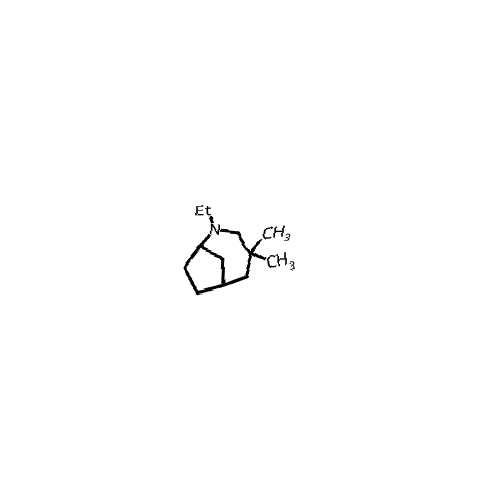 CCN1CC(C)(C)CC2CCC1C2